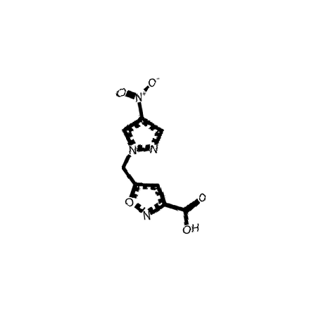 O=C(O)c1cc(Cn2cc([N+](=O)[O-])cn2)on1